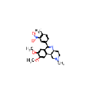 COc1cc2c(cc1OC)C1CN(C)CCC1N=C2c1ccc(C)c([N+](=O)[O-])c1